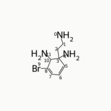 NCCC1(N)C=CC=C(Br)C1N